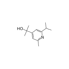 Cc1cc(C(C)(C)O)cc(C(C)C)n1